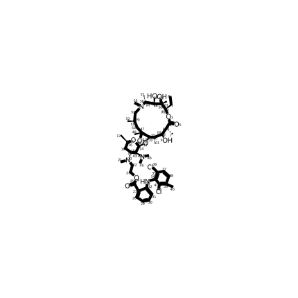 CC[C@H]1OC(=O)[C@H](C)[C@@H](O)[C@H](C)[C@@H](O[C@@H]2O[C@H](C)C[C@@H](N(C)CCOC(=O)c3ccccc3Nc3c(Cl)ccc(C)c3Cl)[C@@H]2N(C)C)[C@](C)(O)C[C@@H](C)CN(C)[C@H](C)[C@@H](O)[C@]1(C)O